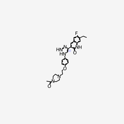 CCc1cc2[nH]c(=O)c(/C(=C/Nc3ccc(OCCN4CCN(C(C)=O)CC4)cc3)N=N)cc2cc1F